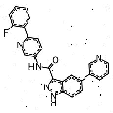 O=C(Nc1ccc(-c2ccccc2F)nc1)c1n[nH]c2ccc(-c3cccnc3)cc12